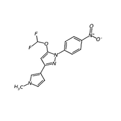 Cn1ccc(-c2cc(OC(F)F)n(-c3ccc([N+](=O)[O-])cc3)n2)c1